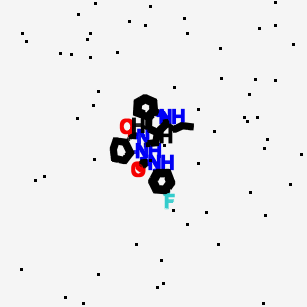 CCC[C@@H]1Nc2ccccc2[C@H]2[C@@H]1CCN2C(=O)[C@H]1CCCC[C@H]1NC(=O)Nc1ccc(F)cc1